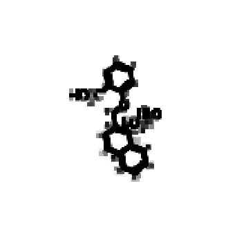 CS(=O)(=O)O.O.O=C(O)c1ccccc1OCc1ccc2ccccc2c1